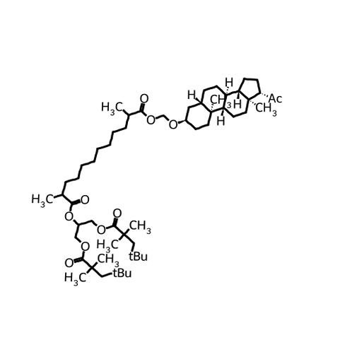 CC(=O)[C@H]1CC[C@H]2[C@@H]3CC[C@H]4C[C@H](OCOC(=O)C(C)CCCCCCCCC(C)C(=O)OC(COC(=O)C(C)(C)CC(C)(C)C)COC(=O)C(C)(C)CC(C)(C)C)CC[C@]4(C)[C@H]3CC[C@]12C